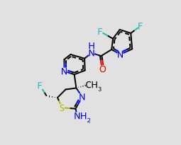 C[C@@]1(c2cc(NC(=O)c3ncc(F)cc3F)ccn2)C[C@@H](CF)SC(N)=N1